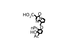 CCCc1c(OCc2cccn3c(=O)c(CC(=O)O)cnc23)ccc(C(C)=O)c1O